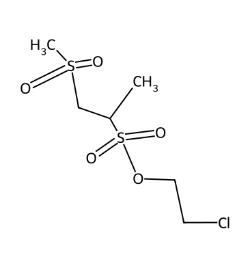 CC(CS(C)(=O)=O)S(=O)(=O)OCCCl